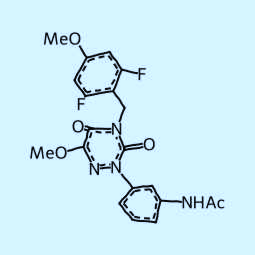 COc1cc(F)c(Cn2c(=O)c(OC)nn(-c3cccc(NC(C)=O)c3)c2=O)c(F)c1